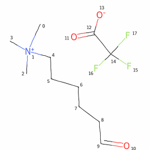 C[N+](C)(C)CCCCCC=O.O=C([O-])C(F)(F)F